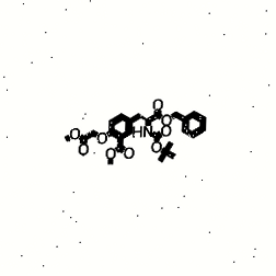 COC(=O)COc1ccc(C[C@H](NC(=O)OC(C)(C)C)C(=O)OCc2ccccc2)cc1C(=O)OC